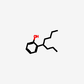 CCCCC(CCC)c1ccccc1O